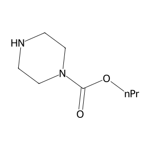 CCCOC(=O)N1CCNCC1